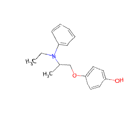 CCN(c1ccccc1)C(C)COc1ccc(O)cc1